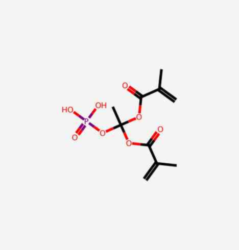 C=C(C)C(=O)OC(C)(OC(=O)C(=C)C)OP(=O)(O)O